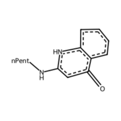 CCCCCNc1cc(=O)c2ccccc2[nH]1